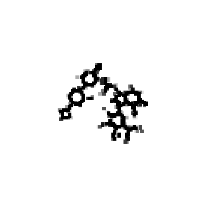 C[C@H]1CN(C2CCC2)CCN1c1cc(NC(=O)Cn2cc(-c3cc(C(N)=O)c(O)c(F)c3F)c3c(=O)n(C)cnc32)c(Cl)cn1